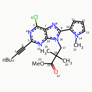 CCCCC#Cc1nc(Cl)c2nc(-c3cccn3C)n(CC(C)(C)C(=O)OC)c2n1